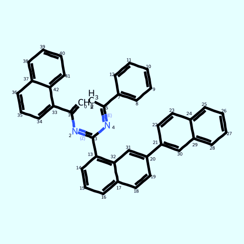 C=C(/N=C(\N=C(/C)c1ccccc1)c1cccc2ccc(-c3ccc4ccccc4c3)cc12)c1cccc2ccccc12